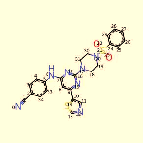 N#Cc1ccc(Nc2cc(-c3cncs3)nc(N3CCN(S(=O)(=O)c4ccccc4)CC3)n2)cc1